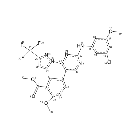 COC(=O)c1cc(-c2cnc(Nc3cc(Cl)cc(OC)c3)nc2-n2ccc(C(F)(F)F)n2)cnc1OC